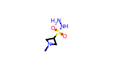 CN1CC(S(=O)(=O)NN)C1